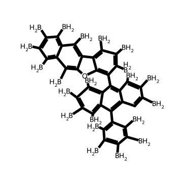 Bc1cc2c(-c3c(B)c(B)c(B)c(B)c3B)c3c(B)c(B)c(B)c(B)c3c(-c3c(B)c(B)c(B)c4c3oc3c(B)c5c(B)c(B)c(B)c(B)c5c(B)c34)c2c(B)c1B